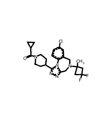 CC1(N2Cc3cc(Cl)ccc3-n3c(nnc3C3CCN(C(=O)C4CC4)CC3)C2)CC(F)(F)C1